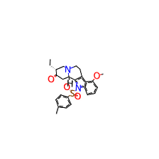 CC[C@@H]1CN2CCc3c(n(S(=O)(=O)c4ccc(C)cc4)c4cccc(OC)c34)[C@@H]2CC1=O